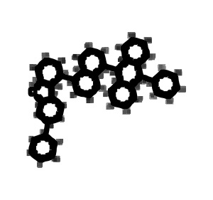 c1ccc(-c2ccc3c(c2)oc2cccc(-c4cccc5c(-c6c7ccccc7c(-c7ccccc7)c7ccccc67)cccc45)c23)cc1